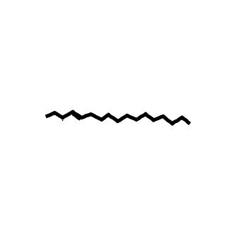 CC[CH]/C=C/CCCCCCCCCCCC